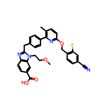 COCCn1c(Cc2ccc(-c3nc(OCc4ccc(C#N)cc4F)ccc3C)cc2)nc2ccc(C(=O)O)cc21